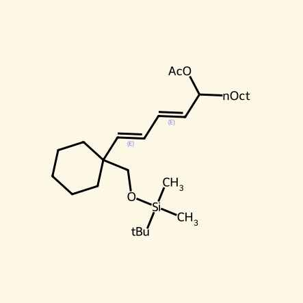 CCCCCCCCC(/C=C/C=C/C1(CO[Si](C)(C)C(C)(C)C)CCCCC1)OC(C)=O